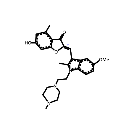 COc1ccc2c(c1)c(/C=C1\Oc3cc(O)cc(C)c3C1=O)c(C)n2CCN1CCN(C)CC1